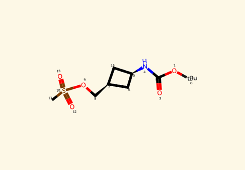 CC(C)(C)OC(=O)N[C@H]1C[C@@H](COS(C)(=O)=O)C1